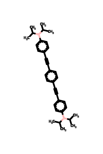 CC(C)B(c1ccc(C#Cc2ccc(C#Cc3ccc(B(C(C)C)C(C)C)cc3)cc2)cc1)C(C)C